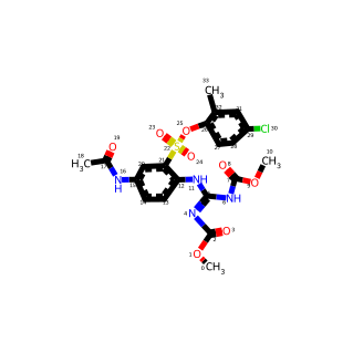 COC(=O)N=C(NC(=O)OC)Nc1ccc(NC(C)=O)cc1S(=O)(=O)Oc1ccc(Cl)cc1C